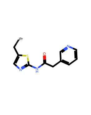 CC(C)Cc1cnc(NC(=O)Cc2cccnc2)s1